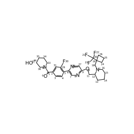 O=C(c1ccc(-c2cnc(OCC3CCCCN3CC3(C(F)(F)F)CCC3)cn2)c(F)c1)N1CCC[C@@H](O)C1